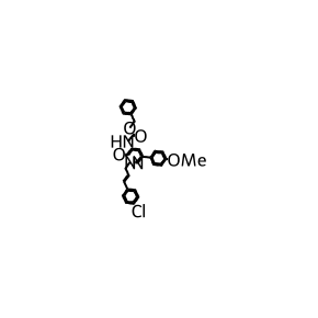 COc1ccc(-c2cc(NC(=O)OCc3ccccc3)c(=O)n(C/C=C/c3ccc(Cl)cc3)n2)cc1